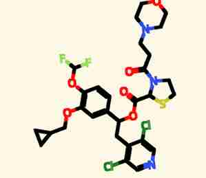 O=C(OC(Cc1c(Cl)cncc1Cl)c1ccc(OC(F)F)c(OCC2CC2)c1)C1SCCN1C(=O)CCN1CCOCC1